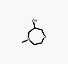 CN1CCOCC(O)C1